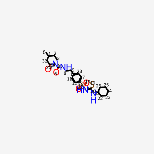 CC1CCN(C(=O)NCCc2ccc(S(=O)(=O)NC(=S)NC3CCCCC3)cc2)C(=O)C1